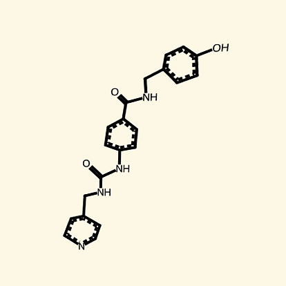 O=C(NCc1ccncc1)Nc1ccc(C(=O)NCc2ccc(O)cc2)cc1